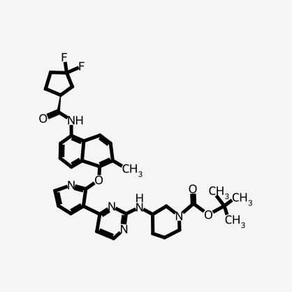 Cc1ccc2c(NC(=O)[C@H]3CCC(F)(F)C3)cccc2c1Oc1ncccc1-c1ccnc(NC2CCCN(C(=O)OC(C)(C)C)C2)n1